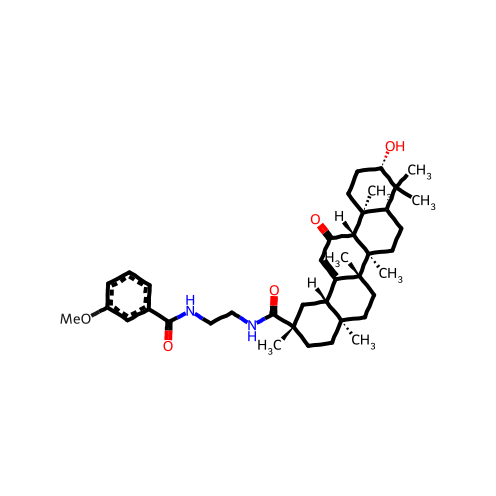 COc1cccc(C(=O)NCCNC(=O)[C@@]2(C)CC[C@]3(C)CC[C@]4(C)C(=CC(=O)[C@@H]5[C@@]6(C)CC[C@H](O)C(C)(C)C6CC[C@]54C)[C@H]3C2)c1